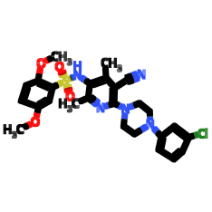 COc1ccc(OC)c(S(=O)(=O)Nc2c(C)nc(N3CCN(c4cccc(Cl)c4)CC3)c(C#N)c2C)c1